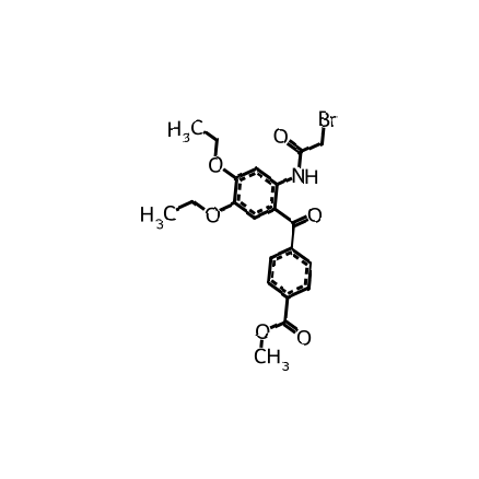 CCOc1cc(NC(=O)CBr)c(C(=O)c2ccc(C(=O)OC)cc2)cc1OCC